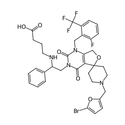 O=C(O)CCCNC(Cn1c(=O)c2c(n(Cc3c(F)cccc3C(F)(F)F)c1=O)COC21CCN(Cc2ccc(Br)o2)CC1)c1ccccc1